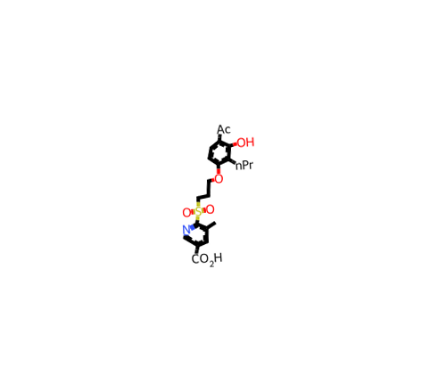 CCCc1c(OCCCS(=O)(=O)c2ncc(C(=O)O)cc2C)ccc(C(C)=O)c1O